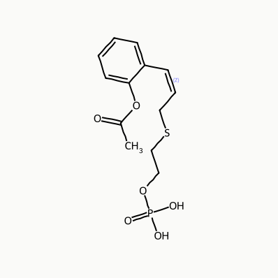 CC(=O)Oc1ccccc1/C=C\CSCCOP(=O)(O)O